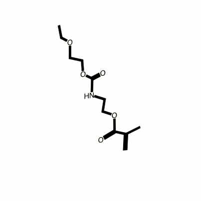 C=C(C)C(=O)OCCNC(=O)OCCOCC